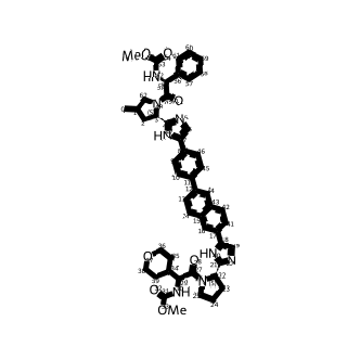 C=C1C[C@@H](c2ncc(-c3ccc(-c4ccc5cc(-c6cnc([C@@H]7CCCN7C(=O)C(NC(=O)OC)C7CCOCC7)[nH]6)ccc5c4)cc3)[nH]2)N(C(=O)[C@H](NC(=O)OC)c2ccccc2)C1